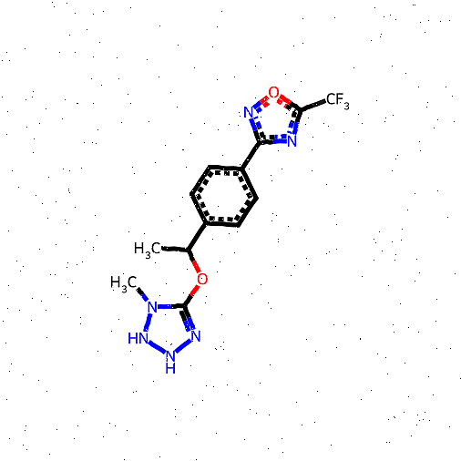 CC(OC1=NNNN1C)c1ccc(-c2noc(C(F)(F)F)n2)cc1